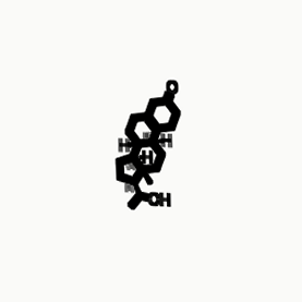 CC(O)[C@H]1CC[C@H]2[C@@H]3CCC4=C(CCC(=O)C4)[C@H]3CC[C@]12C